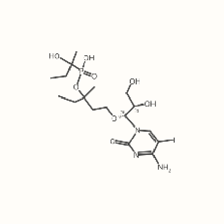 CCC(C)(CCO[C@H]([C@H](O)CO)n1cc(I)c(N)nc1=O)OP(=O)(O)C(C)(O)CC